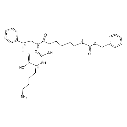 C[C@@H](CNC(=O)C(CCCCNC(=O)OCc1ccccc1)NC(=O)N[C@@H](CCCCN)C(=O)O)c1ccccc1